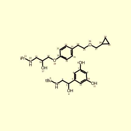 CC(C)(C)NCC(O)c1cc(O)cc(O)c1.CC(C)NCC(O)COc1ccc(CCOCC2CC2)cc1